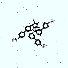 CC1=C(C)C(C)C([Si](c2cccc(-c3ccc(C(C)C)cc3)c2)(c2cccc(-c3ccc(C(C)C)cc3)c2)c2cccc(-c3ccc(C(C)C)cc3)c2)=C1C